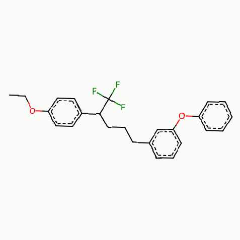 CCOc1ccc(C(CCCc2cccc(Oc3ccccc3)c2)C(F)(F)F)cc1